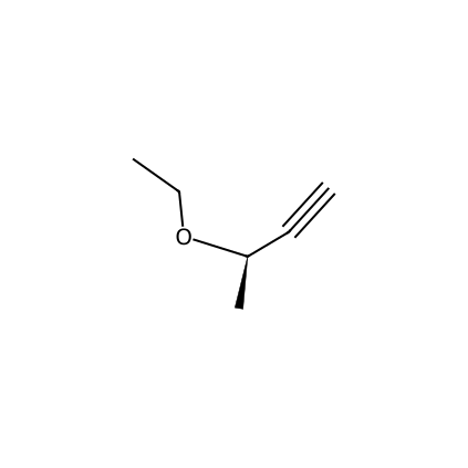 C#C[C@@H](C)OCC